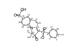 Cc1ccc(S(=O)(=O)C2=C3C=Cc4cc(C(=O)O)ccc4N3C(C)(C)C2=O)cc1